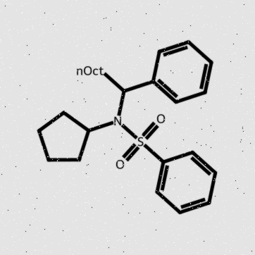 CCCCCCCCC(c1ccccc1)N(C1CCCC1)S(=O)(=O)c1ccccc1